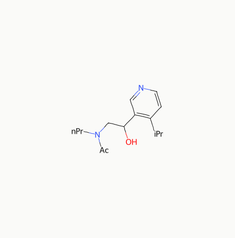 CCCN(CC(O)c1cnccc1C(C)C)C(C)=O